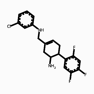 NC1CC(CNc2cccc(Cl)c2)=CCC1c1cc(F)c(F)cc1F